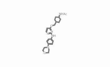 CC(=O)NC1CCC(COc2ccnc(Nc3ccc(N4CCOCC4)cc3)n2)CC1